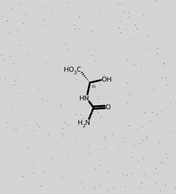 NC(=O)N[C@@H](O)C(=O)O